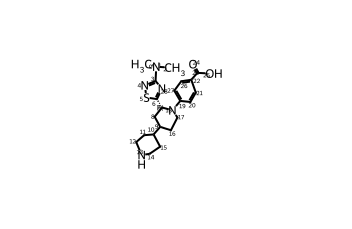 CN(C)c1nsc([C@H]2CC(C3CCNCC3)CCN2c2ccc(C(=O)O)cc2)n1